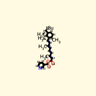 CC1=C(/C=C/C(C)=C/C=C/C(C)=C/C(=O)OC(=O)c2cccnc2)C(C)(C)C(CC(C)(C)C)CC1